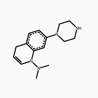 CN(C)N1C=CCc2ccc(N3CCNCC3)cc21